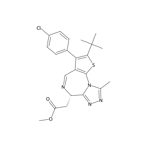 COC(=O)C[C@@H]1N=Cc2c(sc(C(C)(C)C)c2-c2ccc(Cl)cc2)-n2c(C)nnc21